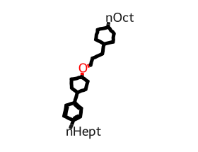 CCCCCCCCC1CCC(CCCOC2CCC(c3ccc(CCCCCCC)cc3)CC2)CC1